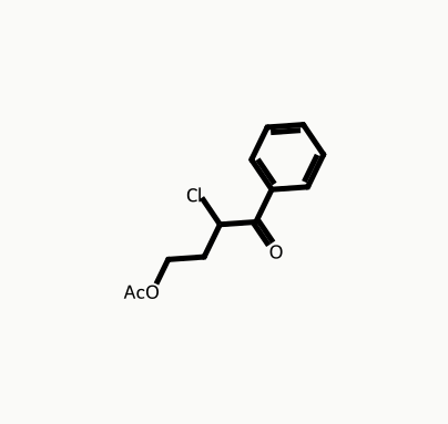 CC(=O)OCCC(Cl)C(=O)c1ccccc1